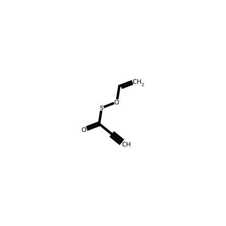 C#CC(=O)SOC=C